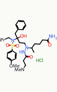 CNCCC(=O)NN(CCC(O)(Cc1ccccc1)N(CC(C)C)S(=O)(=O)c1ccc(OC)cc1)C(C)CCCC(N)=O.Cl